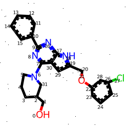 OCC1CCCN(c2nc(-c3ccccc3)nc3[nH]c(COc4cccc(Cl)c4)cc23)C1